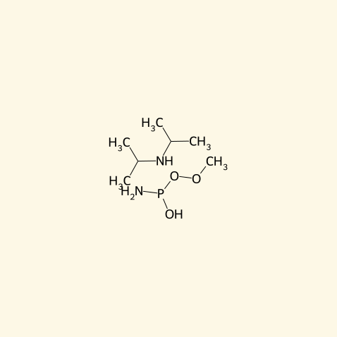 CC(C)NC(C)C.COOP(N)O